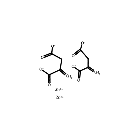 C=C(CC(=O)[O-])C(=O)[O-].C=C(CC(=O)[O-])C(=O)[O-].[Zn+2].[Zn+2]